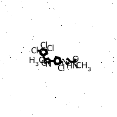 CNC(=O)C1CN(c2ccc(C3=NOC(C)(c4cc(Cl)c(Cl)c(Cl)c4)C3)cc2Cl)C1